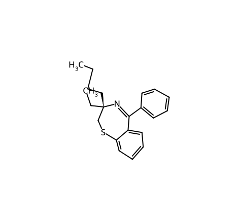 CCCC[C@]1(CC)CSc2ccccc2C(c2ccccc2)=N1